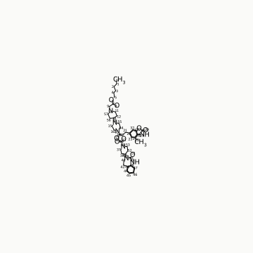 CCCCCCOC(=O)CN1CCC(N2CCN(C(=O)[C@@H](Cc3cc(C)c4[nH]c(=O)oc4c3)OC(=O)N3CCC(N4CCc5ccccc5NC4=O)CC3)CC2)CC1